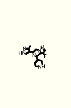 Cc1n[nH]cc1-c1cn2ncc(F)c2c(C2=CCNCC2)n1